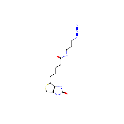 [N-]=[N+]=NCCCNC(=O)CCCCC1SCC2NC(=O)NC21